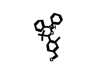 Cc1cc(C=O)ccc1C(O[SiH](c1ccccc1)c1ccccc1)C(C)(C)C